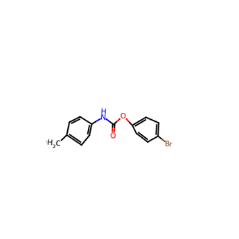 [CH2]c1ccc(NC(=O)Oc2ccc(Br)cc2)cc1